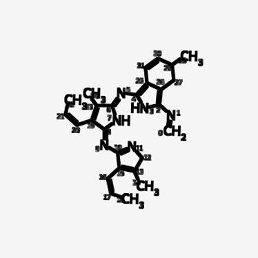 C=Nc1[nH]c(/N=C2\N/C(=N\C3=NCC(C)=C3/C=C\C)C(/C=C\C)=C2C)c2c1CC(C)C=C2